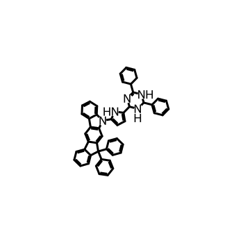 C1=CCC(C2=NC(c3ccc(-n4c5ccccc5c5cc6c(cc54)C(c4ccccc4)(c4ccccc4)c4ccccc4-6)[nH]3)NC(c3ccccc3)N2)C=C1